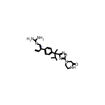 C=C/C(=C\N=C(N)N)c1ccc(C(C)(c2noc(N3CCNC(=O)C3)n2)C(C)C)cc1